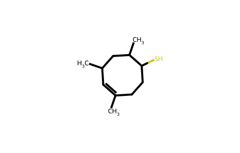 C/C1=C/C(C)CC(C)C(S)CC1